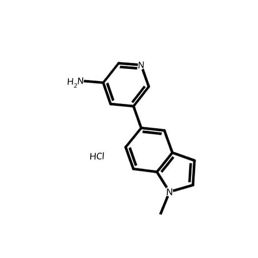 Cl.Cn1ccc2cc(-c3cncc(N)c3)ccc21